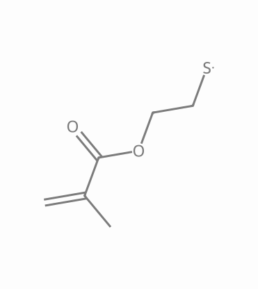 C=C(C)C(=O)OCC[S]